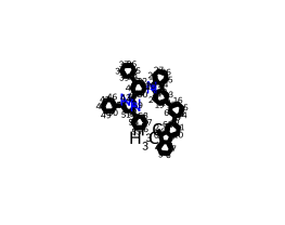 CC1(C)c2ccccc2-c2ccc(-c3cccc(-c4ccc5c(c4)c4ccccc4n5-c4cc(-c5ccccc5)cc(-c5nc(-c6ccccc6)cc(-c6ccccc6)n5)c4)c3)cc21